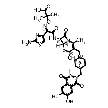 CC1=C(C[N+]23CCC(Cn4[nH]c(=O)c5cc(O)c(O)cc5c4=O)(CC2)CC3)[C@H](C)S[C@@H]2[C@H](NC(=O)/C(=N\OC(C)(C)C(=O)O)c3csc(N)n3)C(=O)N12